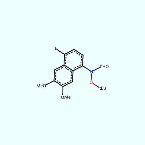 COc1cc2c(I)ccc(N(C=O)OC(C)(C)C)c2cc1OC